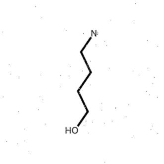 [N]CCCCO